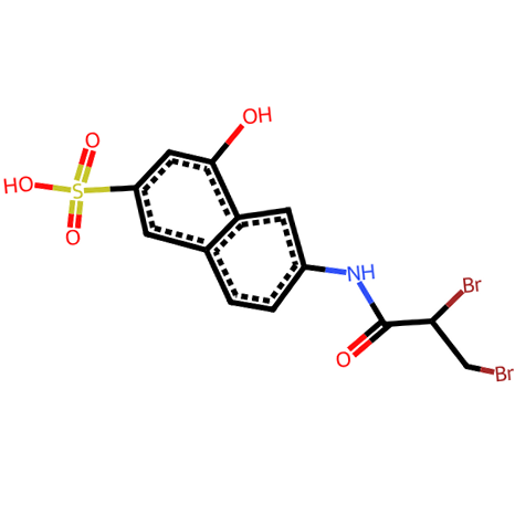 O=C(Nc1ccc2cc(S(=O)(=O)O)cc(O)c2c1)C(Br)CBr